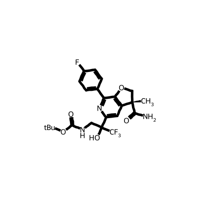 CC(C)(C)OC(=O)NCC(O)(c1cc2c(c(-c3ccc(F)cc3)n1)OC[C@]2(C)C(N)=O)C(F)(F)F